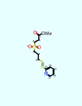 COC(=O)CCS(=O)(=O)CCCSSc1ccccn1